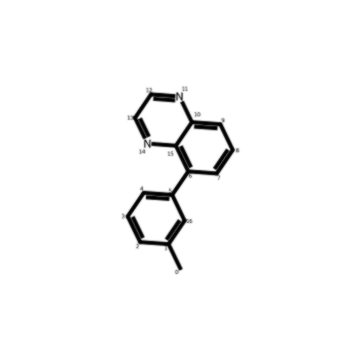 Cc1cccc(-c2cccc3nccnc23)c1